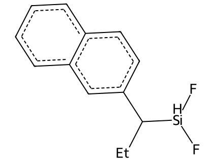 CCC(c1ccc2ccccc2c1)[SiH](F)F